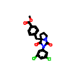 COC(=O)c1ccc(CC23CCCN2C(=O)N(c2cc(Cl)cc(Cl)c2)C3=O)cc1